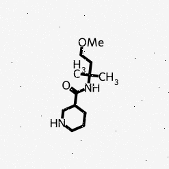 COCCC(C)(C)NC(=O)C1CCCNC1